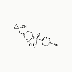 CC(=O)c1ccc(S(=O)(=O)N2CCN(CC3(C#N)CC3)C[C@H]2C)cc1